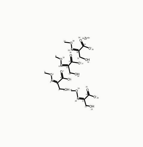 CON=C(CO)C(=O)[O-].CON=C(CO)C(=O)[O-].CON=C(CO)C(=O)[O-].CON=C(CO)C(=O)[O-].[Zr+4]